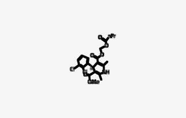 CCCC(=O)OCOC(=O)C1=C(C)NC(C)=C(C(=O)OC)[C@H]1c1cccc(Cl)c1Cl